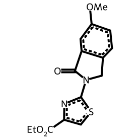 CCOC(=O)c1csc(N2Cc3ccc(OC)cc3C2=O)n1